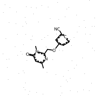 Cc1cc(=O)n(C)c(COc2cccc(C#N)c2)n1